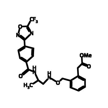 COC(=O)Cc1ccccc1CONCC(C)NC(=O)c1ccc(-c2noc(C(F)(F)F)n2)cc1